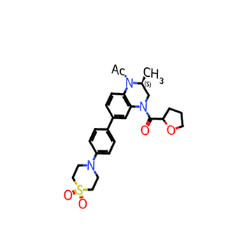 CC(=O)N1c2ccc(-c3ccc(N4CCS(=O)(=O)CC4)cc3)cc2N(C(=O)C2CCCO2)C[C@@H]1C